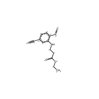 CCOC(=O)CCNc1cc(C#N)ccc1N=O